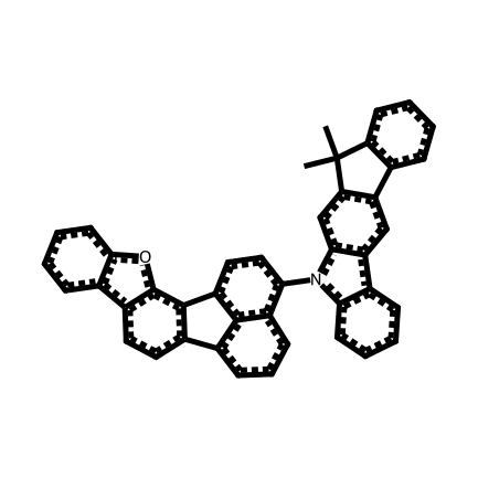 CC1(C)c2ccccc2-c2cc3c4ccccc4n(-c4ccc5c6c(cccc46)-c4ccc6c(oc7ccccc76)c4-5)c3cc21